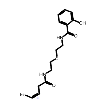 CC/C=C\CC(=O)NCCSCCNC(=O)c1ccccc1O